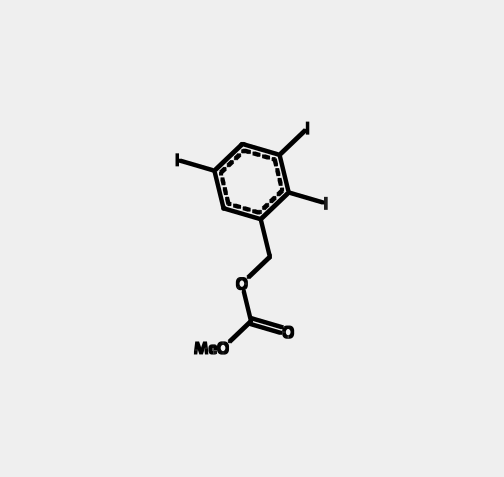 COC(=O)OCc1cc(I)cc(I)c1I